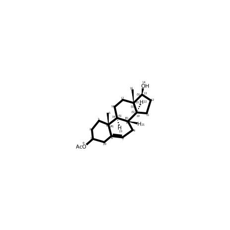 CC(=O)OC1CC[C@@]2(C)C(=CC[C@H]3[C@@H]4CC[C@H](O)[C@@]4(C)CC[C@@H]32)C1